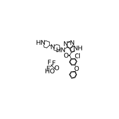 O=C(O)C(F)(F)F.O=C(c1ccc(Oc2ccccc2)cc1Cl)c1c[nH]c2ncnc(NC3CCN(C4CCNCC4)CC3)c12